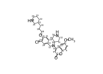 COc1ccc2oc(=O)cc(N(Cc3ccc(OCCCC4CCCNC4)c(Cl)c3)C3CCNCC3)c2c1